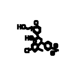 Cc1cc(Cl)ccc1C(C/C(=N/O)c1ccc(=O)n(CCO)c1)c1ccc(S(C)(=O)=O)cc1